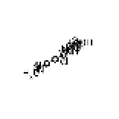 Cc1nc(-c2ccc(-c3ccc(-c4nc5nc(O[C@@H]6CO[C@H]7[C@@H]6OC[C@H]7O)[nH]c5cc4Cl)cc3)cc2)no1